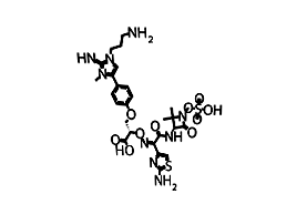 Cn1c(-c2ccc(OC[C@H](O/N=C(\C(=O)N[C@@H]3C(=O)N(OS(=O)(=O)O)C3(C)C)c3csc(N)n3)C(=O)O)cc2)cn(CCCN)c1=N